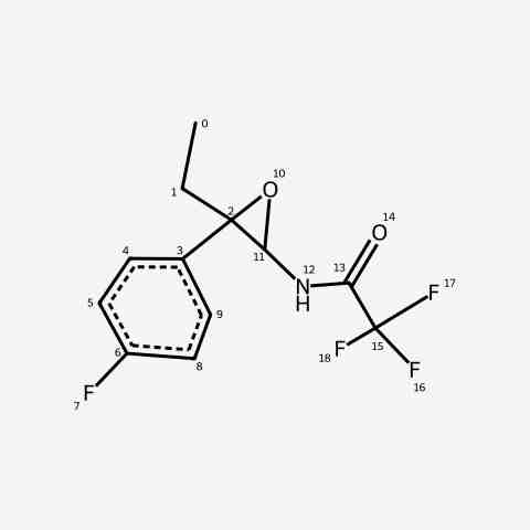 CCC1(c2ccc(F)cc2)OC1NC(=O)C(F)(F)F